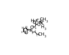 CCCC[C@H](OCC(=O)OC(C)(C)C)c1ccco1